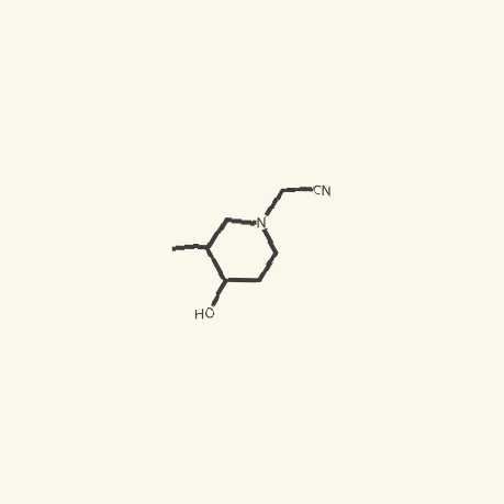 CC1CN(CC#N)CCC1O